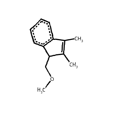 COCC1C(C)=C(C)c2ccccc21